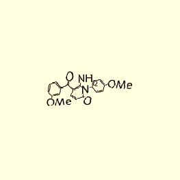 COc1ccc(-n2c(N)c(C(=O)c3cccc(OC)c3)ccc2=O)cc1